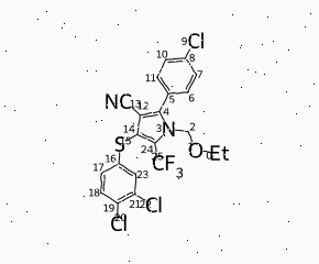 CCOCn1c(-c2ccc(Cl)cc2)c(C#N)c(Sc2ccc(Cl)c(Cl)c2)c1C(F)(F)F